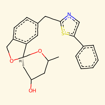 CC1CC(O)C[C@@]2(OCc3ccc(Cc4ncc(-c5ccccc5)s4)cc32)O1